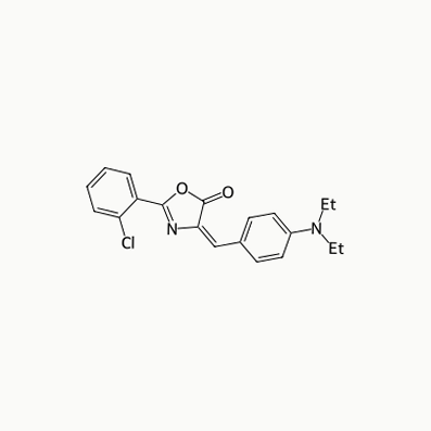 CCN(CC)c1ccc(C=C2N=C(c3ccccc3Cl)OC2=O)cc1